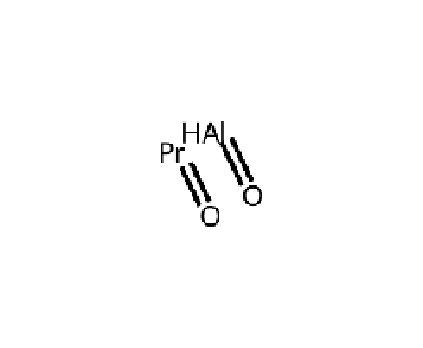 [O]=[AlH].[O]=[Pr]